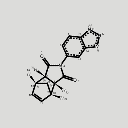 O=C1[C@@H]2[C@H](C(=O)N1c1ccc3[nH]nnc3c1)[C@@H]1C=C[C@H]2C1